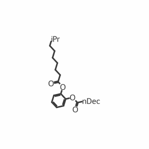 CCCCCCCCCCC(=O)Oc1ccccc1OC(=O)CCCCCCC(C)C